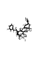 Cn1cc(SCc2ccccc2)c(Oc2cc(Cl)cc(C#N)c2)c(Br)c1=O